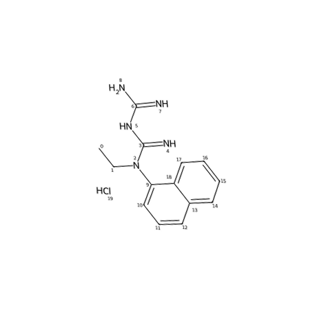 CCN(C(=N)NC(=N)N)c1cccc2ccccc12.Cl